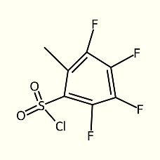 Cc1c(F)c(F)c(F)c(F)c1S(=O)(=O)Cl